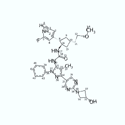 C#C/C=C(\C=C(/N)F)[C@@H]1C[C@H](CCOC)C[C@H]1NC(=O)Nc1c(C)c(-c2cnc(N3CC(O)C3)nc2)nn1-c1ccccc1